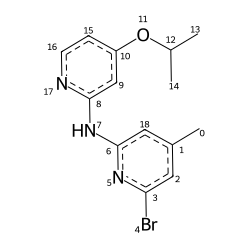 Cc1cc(Br)nc(Nc2cc(OC(C)C)ccn2)c1